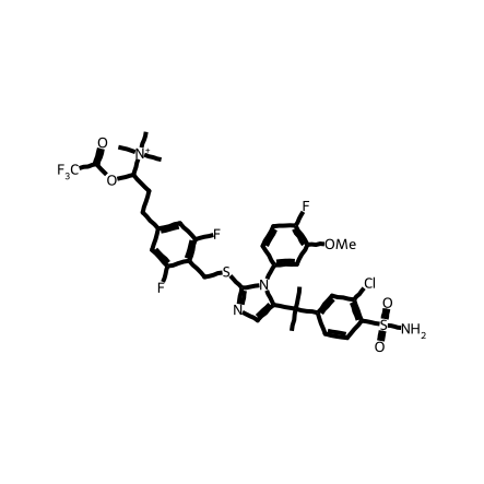 COc1cc(-n2c(C(C)(C)c3ccc(S(N)(=O)=O)c(Cl)c3)cnc2SCc2c(F)cc(CCC(OC(=O)C(F)(F)F)[N+](C)(C)C)cc2F)ccc1F